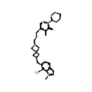 Cc1c(CCCN2CC3(CC(Cc4ccc5cnn(C)c5c4C(F)(F)F)C3)C2)cnn(C2CCCCO2)c1=O